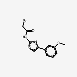 COc1cccc(-c2csc(NC(=O)CBr)n2)c1